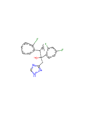 CC(c1ccccc1F)C(O)(Cc1nc[nH]n1)c1ccc(F)cc1F